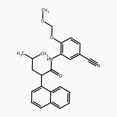 COCOc1ccc(C#N)cc1NC(=O)C(CC(C)C)c1cccc2ccccc12